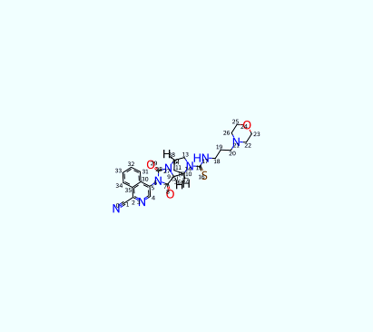 N#Cc1ncc(N2C(=O)[C@@H]3[C@@H]4C[C@@H](CN4C(=S)NCCCN4CCOCC4)N3C2=O)c2ccccc12